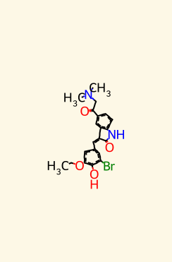 CCOc1cc(C=C2C(=O)Nc3ccc(C(=O)CN(C)C)cc32)cc(Br)c1O